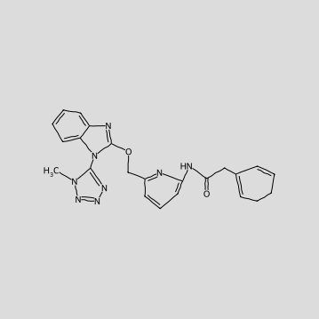 Cn1nnnc1-n1c(OCc2cccc(NC(=O)CC3=CCCC=C3)n2)nc2ccccc21